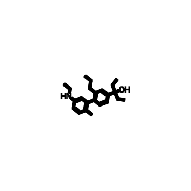 CCCc1cc(C(O)(CC)CC)ccc1-c1cc(NCC)ccc1C